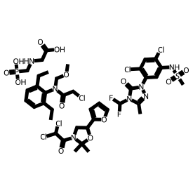 CC1(C)OC(c2ccco2)CN1C(=O)C(Cl)Cl.CCc1cccc(CC)c1N(COC)C(=O)CCl.Cc1nn(-c2cc(NS(C)(=O)=O)c(Cl)cc2Cl)c(=O)n1C(F)F.O=C(O)CNCP(=O)(O)O